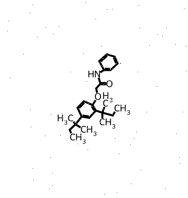 CCC(C)(C)c1ccc(OCC(=O)Nc2c[c]ccc2)c(C(C)(C)CC)c1